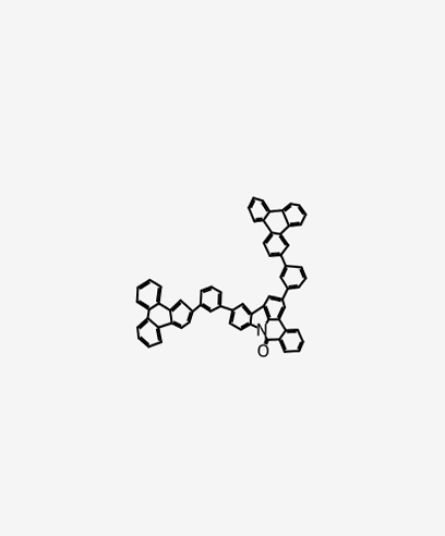 O=c1c2ccccc2c2cc(-c3cccc(-c4ccc5c6ccccc6c6ccccc6c5c4)c3)cc3c4cc(-c5cccc(-c6ccc7c8ccccc8c8ccccc8c7c6)c5)ccc4n1c23